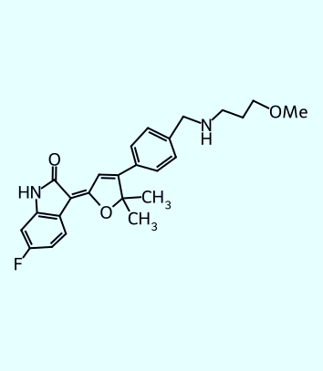 COCCCNCc1ccc(C2=C/C(=C3\C(=O)Nc4cc(F)ccc43)OC2(C)C)cc1